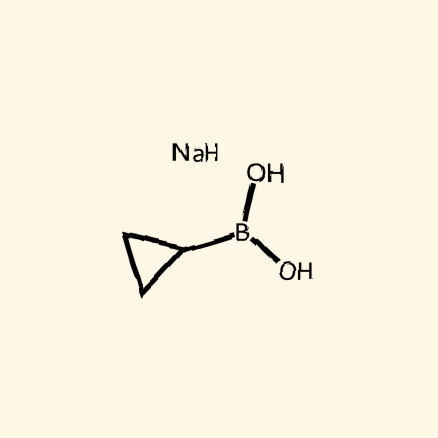 OB(O)C1CC1.[NaH]